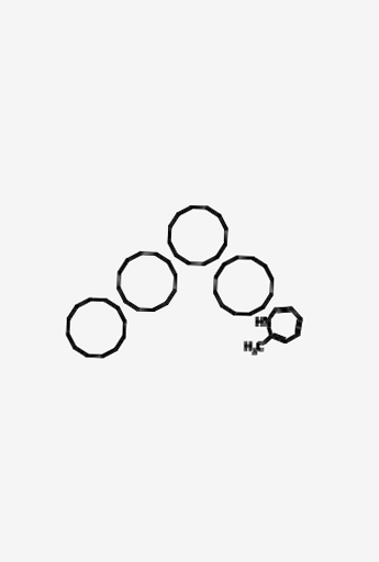 C1CCCCCCCCCCC1.C1CCCCCCCCCCC1.C1CCCCCCCCCCC1.C1CCCCCCCCCCC1.CC1=CC=CC=CN1